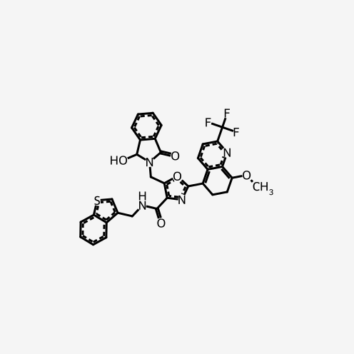 COC1=c2nc(C(F)(F)F)ccc2=C(c2nc(C(=O)NCc3csc4ccccc34)c(CN3C(=O)c4ccccc4C3O)o2)CC1